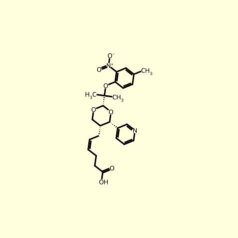 Cc1ccc(OC(C)(C)[C@H]2OC[C@@H](C/C=C\CCC(=O)O)[C@@H](c3cccnc3)O2)c([N+](=O)[O-])c1